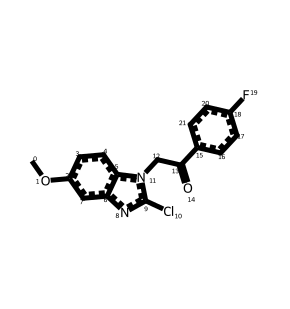 COc1ccc2c(c1)nc(Cl)n2CC(=O)c1ccc(F)cc1